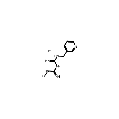 CC(C)NC(=N)NC(=N)NCc1cccnc1.Cl